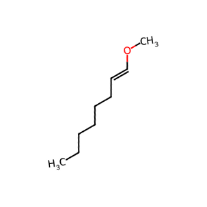 CCCCCC/C=C/OC